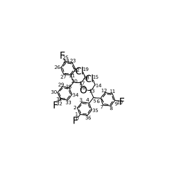 Fc1ccc(C(c2ccc(F)cc2)C(CCl)OC(CCl)C(c2ccc(F)cc2)c2ccc(F)cc2)cc1